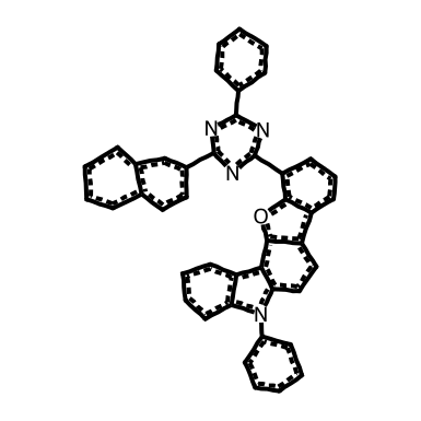 c1ccc(-c2nc(-c3ccc4ccccc4c3)nc(-c3cccc4c3oc3c4ccc4c3c3ccccc3n4-c3ccccc3)n2)cc1